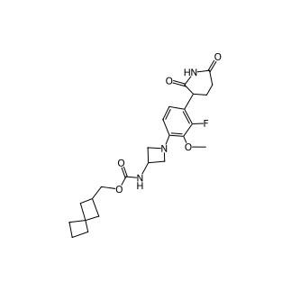 COc1c(N2CC(NC(=O)OCC3CC4(CCC4)C3)C2)ccc(C2CCC(=O)NC2=O)c1F